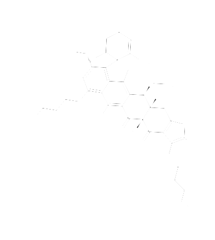 CCCCOc1noc2c1C(=O)[C@]1(O)C(=O)c3c(c4c5c(c(OC)cc(OCCCC)c5c3O)[C@]3(C4)C(C)=CCCC3C)[C@@H](OC)[C@@H]1C2